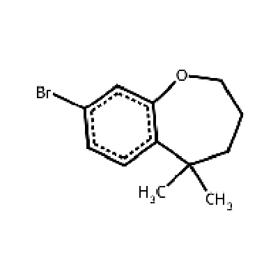 CC1(C)CCCOc2cc(Br)ccc21